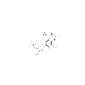 Cc1c(N2CC(CN)C(CC(F)(F)F)C2)c(F)c(N)c2c(=O)[nH]c(=O)n(C3CC3)c12